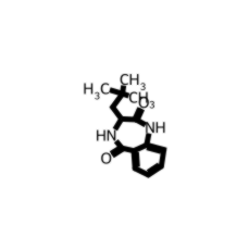 CC(C)(C)CC1NC(=O)c2ccccc2NC1=O